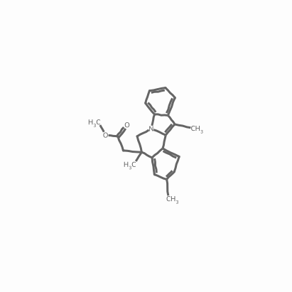 COC(=O)CC1(C)Cn2c(c(C)c3ccccc32)-c2ccc(C)cc21